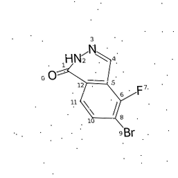 O=c1[nH]ncc2c(F)c(Br)ccc12